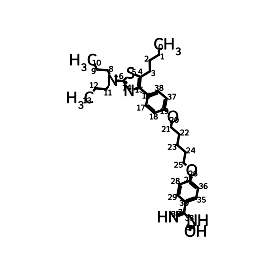 CCCCc1sc(N(CCC)CCC)nc1-c1ccc(OCCCCCOc2ccc(C(=N)NO)cc2)cc1